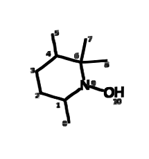 CC1CCC(C)C(C)(C)N1O